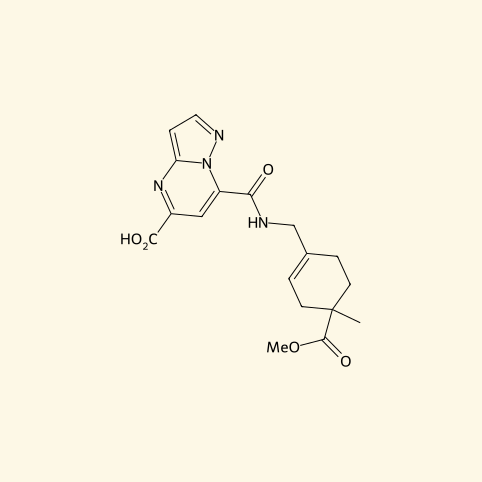 COC(=O)C1(C)CC=C(CNC(=O)c2cc(C(=O)O)nc3ccnn23)CC1